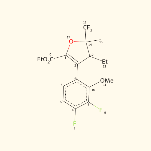 CCOC(=O)C1=C(c2ccc(F)c(F)c2OC)C(CC)C(C)(C(F)(F)F)O1